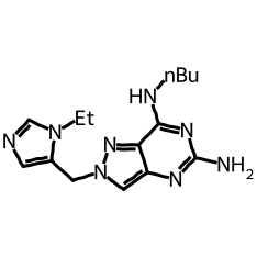 CCCCNc1nc(N)nc2cn(Cc3cncn3CC)nc12